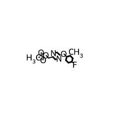 Cc1cc(F)ccc1Oc1cnc(COS(C)(=O)=O)cn1